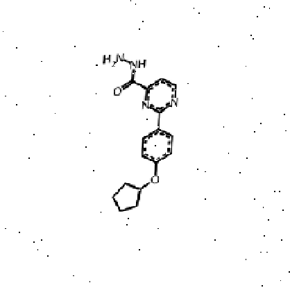 NNC(=O)c1ccnc(-c2ccc(OC3CCCC3)cc2)n1